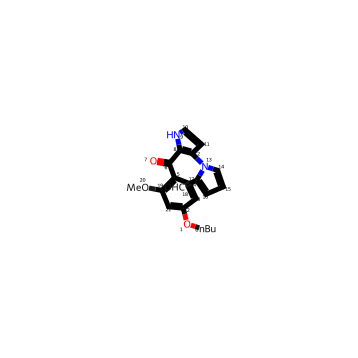 CCCCOc1ccc(C(=O)c2[nH]ccc2-n2cccc2C=O)c(OC)c1